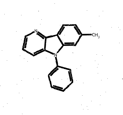 Cc1ccc2c3ncccc3n(-c3ccccc3)c2c1